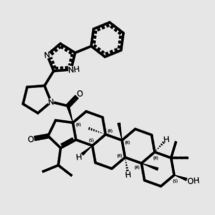 CC(C)C1=C2[C@H]3CC[C@@H]4[C@@]5(C)CC[C@H](O)C(C)(C)[C@@H]5CC[C@@]4(C)[C@]3(C)CC[C@@]2(C(=O)N2CCCC2c2ncc(-c3ccccc3)[nH]2)CC1=O